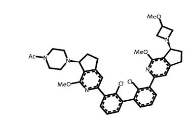 COc1nc(-c2cccc(-c3cccc(-c4cc5c(c(OC)n4)[C@@H](N4CC(OC)C4)CC5)c3Cl)c2Cl)cc2c1[C@@H](N1CCN(C(C)=O)CC1)CC2